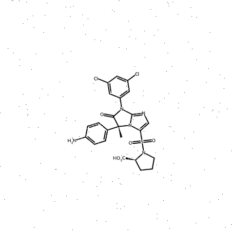 C[C@@]1(c2ccc(N)cc2)C(=O)N(c2cc(Cl)cc(Cl)c2)c2ncc(S(=O)(=O)N3CCC[C@H]3C(=O)O)n21